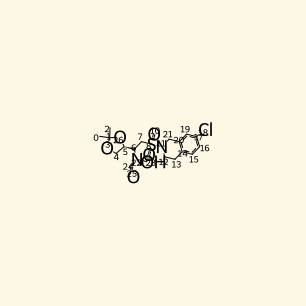 CC1(C)OC[C@H](C(CS(=O)(=O)N2CCc3ccc(Cl)cc3C2)N(O)C=O)O1